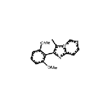 COc1cccc(OC)c1-c1nc2ccncn2c1C